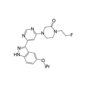 CC(C)Oc1ccc2[nH]nc(-c3cc(N4CCN(CCF)C(=O)C4)ncn3)c2c1